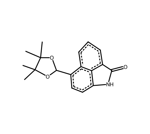 CC1(C)OC(c2ccc3c4c(cccc24)C(=O)N3)OC1(C)C